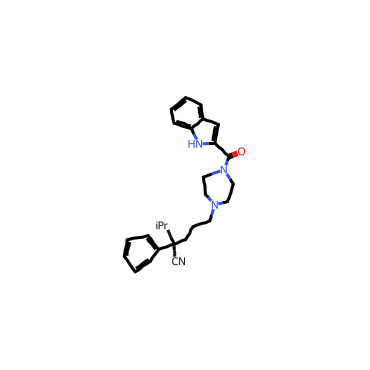 CC(C)C(C#N)(CCCN1CCN(C(=O)c2cc3ccccc3[nH]2)CC1)c1ccccc1